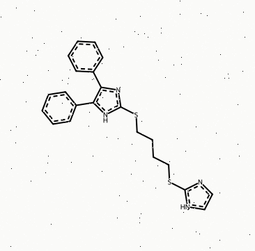 c1ccc(-c2nc(SCCCCSc3ncc[nH]3)[nH]c2-c2ccccc2)cc1